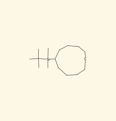 CC(C)(C)[Si](C)(C)C1CCCCCCCCC1